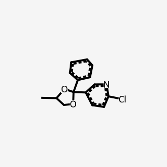 CC1COC(c2ccccc2)(c2ccc(Cl)nc2)O1